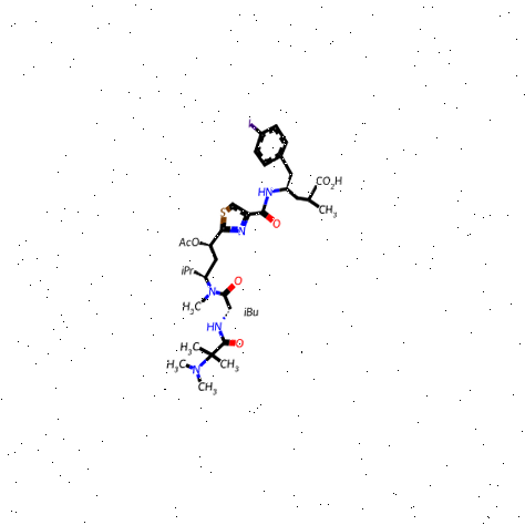 CC[C@H](C)[C@H](NC(=O)C(C)(C)N(C)C)C(=O)N(C)[C@H](C[C@@H](OC(C)=O)c1nc(C(=O)N[C@@H](Cc2ccc(I)cc2)CC(C)C(=O)O)cs1)C(C)C